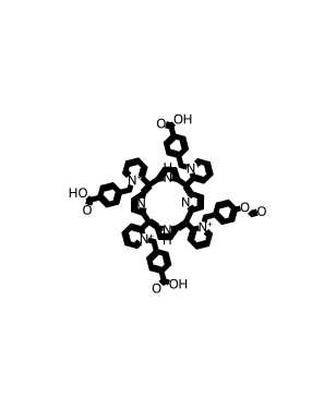 O=COc1ccc(C[n+]2ccccc2-c2c3nc(c(-c4cccc[n+]4Cc4ccc(C(=O)O)cc4)c4ccc([nH]4)c(-c4cccc[n+]4Cc4ccc(C(=O)O)cc4)c4nc(c(-c5cccc[n+]5Cc5ccc(C(=O)O)cc5)c5ccc2[nH]5)C=C4)C=C3)cc1